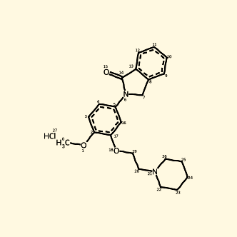 COc1ccc(N2Cc3ccccc3C2=O)cc1OCCN1CCCCC1.Cl